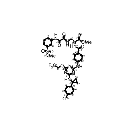 CNS(=O)(=O)c1cccc(NC(=O)C(=O)NC[C@H](NC(=O)c2ccc(Nc3nc(NC4(c5ccc(Cl)cc5)CC4)nc(OCC(F)(F)F)n3)cc2)C(=O)OC)c1